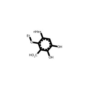 CCCCCCc1cc(O)c(O)c(C(=O)O)c1OCC